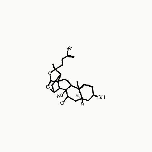 C=C(CCC1(C)OC2OC3CC1C21CCC2C(O)(C(Cl)C[C@H]4CC(O)CCC24C)C31)C(C)C